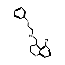 Oc1cccc2c1C(CNCCOc1ccccc1)CCO2